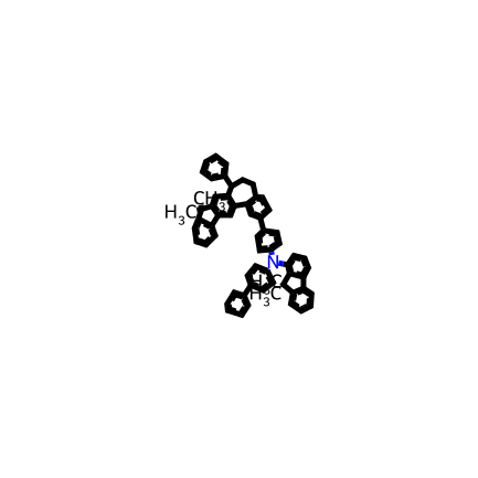 CC1(C)c2ccccc2-c2cc3c(cc21)C(c1ccccc1)CCc1ccc(-c2ccc(N(c4ccc(-c5ccccc5)cc4)c4cccc5c4C(C)(C)c4ccccc4-5)cc2)cc1-3